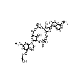 C#CCOc1nc(N)nc2c1ncn2C1OC2COP(O)OC3C(COP(=O)(O)OC1C2O)OC(n1cnc2c(N)ncnc21)C3O